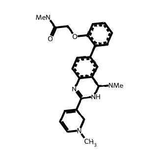 CNC(=O)COc1ccccc1-c1ccc2c(c1)C(NC)NC(C1=CC=CN(C)C1)=N2